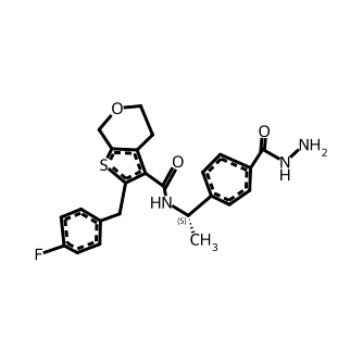 C[C@H](NC(=O)c1c(Cc2ccc(F)cc2)sc2c1CCOC2)c1ccc(C(=O)NN)cc1